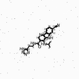 CC(C)Nc1c(C(=O)NCCc2nnn[nH]2)cnc2c1[nH]c1cc(C#N)ccc12